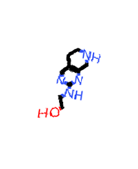 OCCNc1ncc2c(n1)CNCC2